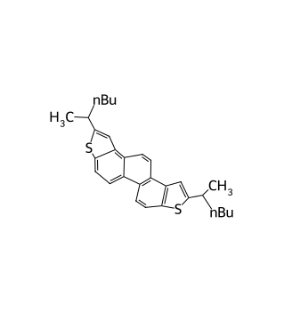 CCCCC(C)c1cc2c(ccc3c2ccc2c4cc(C(C)CCCC)sc4ccc23)s1